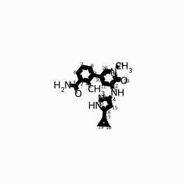 Cc1c(C(N)=O)cccc1-c1cc(Nc2cc(C3CC3)[nH]n2)c(=O)n(C)c1